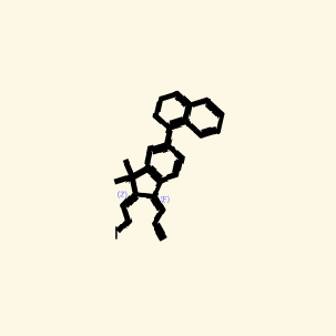 C=C/C=C1\C(=C/CI)C(C)(C)c2cc(C3=c4ccccc4=CCC3)ccc21